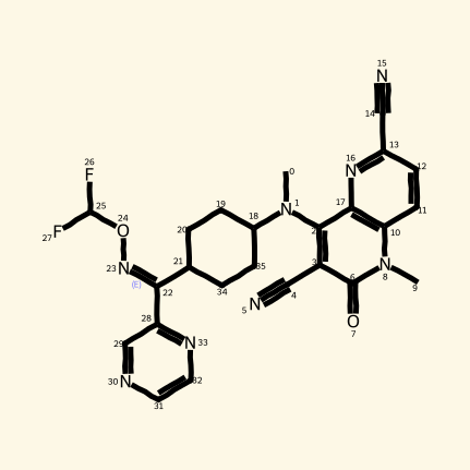 CN(c1c(C#N)c(=O)n(C)c2ccc(C#N)nc12)C1CCC(/C(=N\OC(F)F)c2cnccn2)CC1